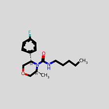 CCCCCNC(=O)N1[C@H](C)COC[C@@H]1c1ccc(F)cc1